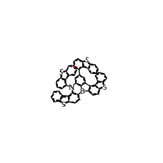 c1ccc2c(c1)sc1cccc(-c3cc4c5c(c3)N(c3cccc6sc7ccccc7c36)c3c(ccc6sc7ccccc7c36)B5c3ccc5sc6ccccc6c5c3-4)c12